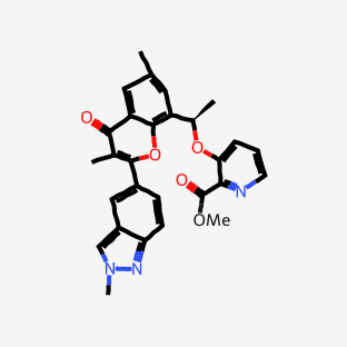 COC(=O)c1ncccc1O[C@H](C)c1cc(C)cc2c(=O)c(C)c(-c3ccc4nn(C)cc4c3)oc12